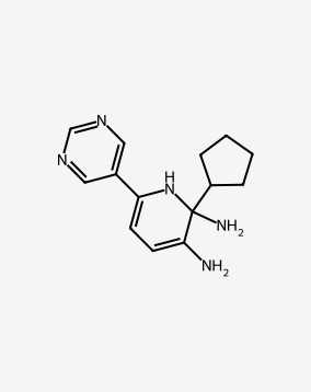 NC1=CC=C(c2cncnc2)NC1(N)C1CCCC1